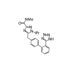 CNC(=O)c1nc(Cc2ccc(-c3ccccc3-c3nnn[nH]3)cc2)n(C(C)C)n1